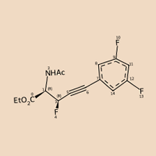 CCOC(=O)[C@@H](NC(C)=O)[C@H](F)C#Cc1cc(F)cc(F)c1